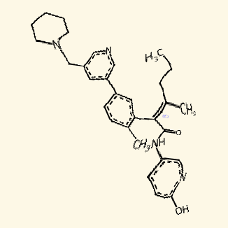 CCC/C(C)=C(/C(=O)Nc1ccc(O)nc1)c1cc(-c2cncc(CN3CCCCC3)c2)ccc1C